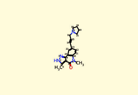 Cc1[nH]nc2c1c(=O)n(C)c1ccc(C#CCN3CCCC3)cc21